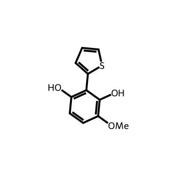 COc1ccc(O)c(-c2cccs2)c1O